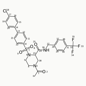 CC(=O)N1CCN(S(=O)(=O)c2ccc(-c3ccc(Cl)cc3)cc2)C(C(=O)NCc2ccc(C(F)(F)F)cc2)C1